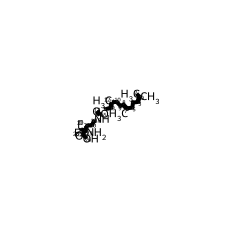 CC(C)=CCCC(C)=CCCC(C)=CCOC(=O)NCCCC(N)(C(=O)O)C(F)F